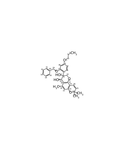 CCCOc1ccc(C2(O)COc3c4c(cc(C)c3C2O)OC(C)(C)C=C4)c(OCc2ccccc2)c1